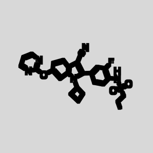 CCCS(=O)(=O)Nc1ccc(-c2c(C#N)c3ccc(Oc4ncccn4)cc3n2C2CCC2)cc1F